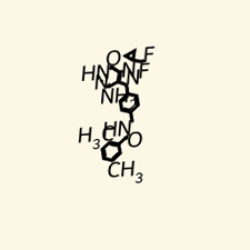 Cc1ccc(C)c(C(=O)NCc2ccc(-c3nn(C4(C(F)F)CC4)c4c(=O)[nH]nc(N)c34)cc2)c1